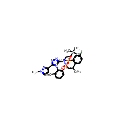 COc1cccc(OC)c1-n1c(-c2ccn(C)n2)nnc1N(CC[Si](C)(C)C)S(=O)(=O)CC(OC)c1ccc(F)cc1S(C)(=O)=O